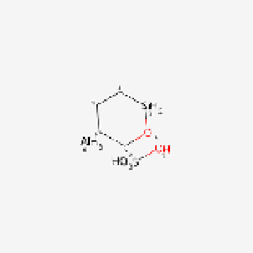 C1CC[SiH2]OC1.O=S(=O)(O)O.[AlH3]